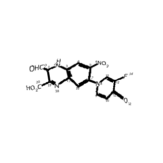 O=CC1Nc2cc([N+](=O)[O-])c(-n3ccc(=O)c(F)c3)cc2N=C1C(=O)O